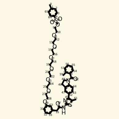 Cc1ccc(S(=O)(=O)OCCOCCOCCOCCOCCOCCOCCOc2cccc(CC(=O)Nc3nc(-c4ccc5c(c4)CCN5C(=O)c4ccccc4C)c(C)s3)c2)cc1